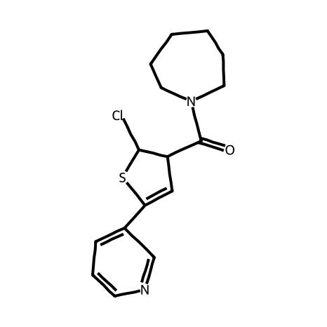 O=C(C1C=C(c2cccnc2)SC1Cl)N1CCCCCC1